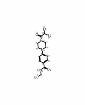 CCC(C)CNC(=O)c1ccc(N2CCN(C(=O)C(CC)CC)CC2)nc1